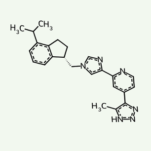 Cc1[nH]nnc1-c1ccnc(-c2cn(C[C@H]3CCc4c(C(C)C)cccc43)cn2)c1